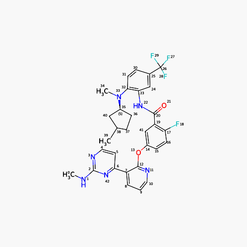 CNc1nccc(-c2cccnc2Oc2ccc(F)c(C(=O)Nc3cc(C(F)(F)F)ccc3N(C)[C@H]3CCC(C)C3)c2)n1